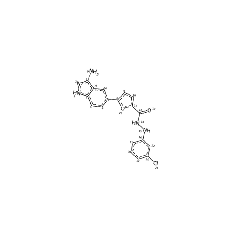 Nc1n[nH]c2ccc(-c3ccc(C(=O)NNc4cccc(Cl)c4)o3)cc12